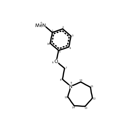 CNc1cccc(OCCN2CCCCCC2)c1